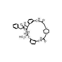 O=C1CN2CCN(CC2)CC(=O)NCc2cccc(c2)C(NS(=O)(=O)Cc2ccccc2)C(=O)N[C@H](C(=O)O)Cc2cccc(c2)CN1